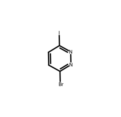 Brc1ccc(I)nn1